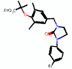 CCOC(=O)C(C)(C)Oc1c(C)cc(CN2CCN(c3ccc(CC)cc3)C2=O)cc1C